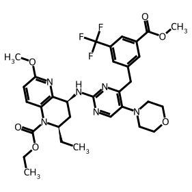 CCOC(=O)N1c2ccc(OC)nc2[C@@H](Nc2ncc(N3CCOCC3)c(Cc3cc(C(=O)OC)cc(C(F)(F)F)c3)n2)C[C@H]1CC